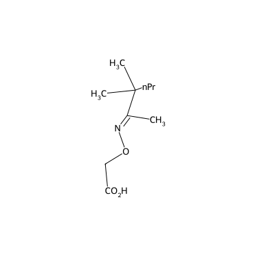 CCCC(C)(C)/C(C)=N/OCC(=O)O